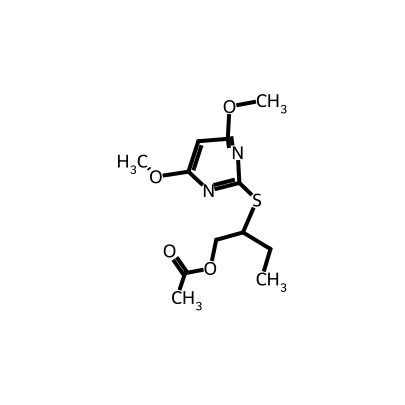 CCC(COC(C)=O)Sc1nc(OC)cc(OC)n1